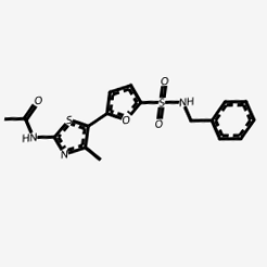 CC(=O)Nc1nc(C)c(-c2ccc(S(=O)(=O)NCc3ccccc3)o2)s1